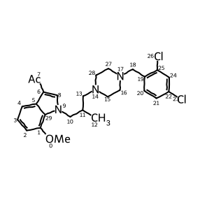 COc1cccc2c(C(C)=O)cn(CC(C)CN3CCN(Cc4ccc(Cl)cc4Cl)CC3)c12